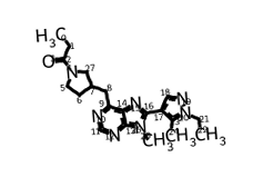 CCC(=O)N1CCC(Cc2ncnc3c2nc(-c2cnn(CC)c2C)n3C)C1